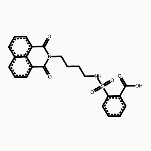 O=C(O)c1ccccc1S(=O)(=O)NCCCCN1C(=O)c2cccc3cccc(c23)C1=O